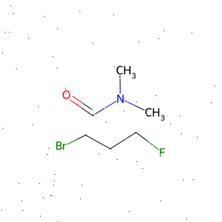 CN(C)C=O.FCCCBr